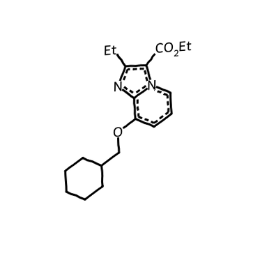 CCOC(=O)c1c(CC)nc2c(OCC3CCCCC3)cccn12